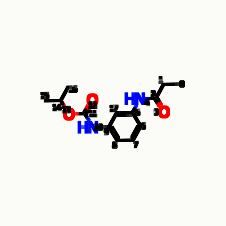 CCC(=O)Nc1cccc(NC(=O)OC(C)C)c1